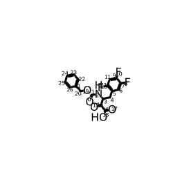 O=C(NC(Cc1cc(F)c(F)cc1F)C(=O)C(=O)O)OCc1ccccc1